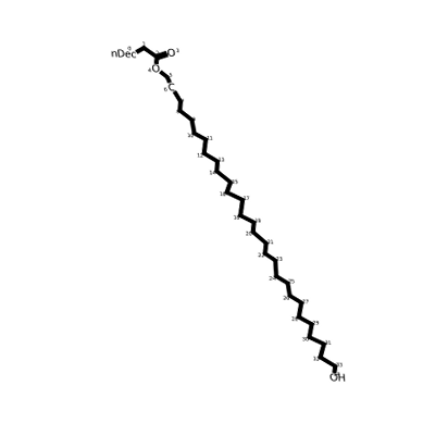 CCCCCCCCCCCC(=O)OCCCCCCCCCCCCCCCCCCCCCCCCCCCCCO